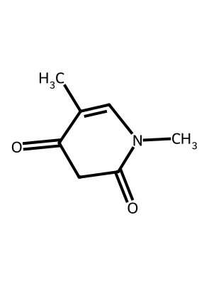 CC1=CN(C)C(=O)CC1=O